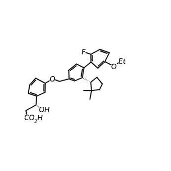 CCOc1ccc(F)c(-c2ccc(COc3cccc([C@H](O)CC(=O)O)c3)cc2[C@@H]2CCCC2(C)C)c1